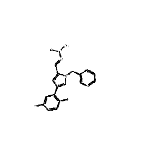 CC(C)(C)[S+]([O-])/N=C/c1cc(-c2cc(F)ccc2F)cn1Cc1ccccc1